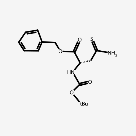 CC(C)(C)OC(=O)N[C@@H](CC(N)=S)C(=O)OCc1ccccc1